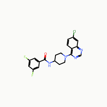 O=C(NC1CCN(c2ncnc3cc(Cl)ccc23)CC1)c1cc(F)cc(F)c1